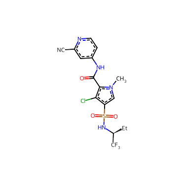 CC[C@H](NS(=O)(=O)c1cn(C)c(C(=O)Nc2ccnc(C#N)c2)c1Cl)C(F)(F)F